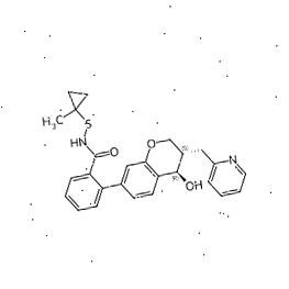 CC1(SNC(=O)c2ccccc2-c2ccc3c(c2)OC[C@H](Cc2ccccn2)[C@H]3O)CC1